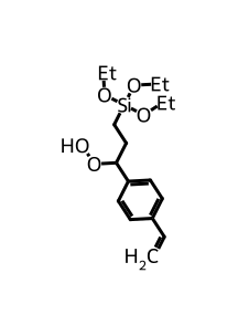 C=Cc1ccc(C(CC[Si](OCC)(OCC)OCC)OO)cc1